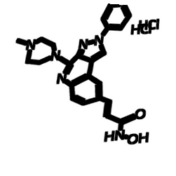 CN1CCN(c2nc3ccc(/C=C/C(=O)NO)cc3c3cn(-c4ccccc4)nc23)CC1.Cl.Cl